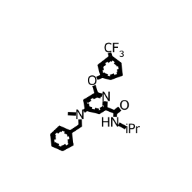 CC(C)NC(=O)c1cc(N(C)Cc2ccccc2)cc(Oc2cccc(C(F)(F)F)c2)n1